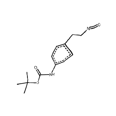 CC(C)(C)OC(=O)Nc1ccc(CCN=O)cc1